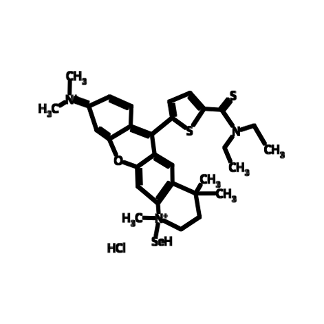 CCN(CC)C(=S)c1ccc(-c2c3ccc(=[N+](C)C)cc-3oc3cc4c(cc23)C(C)(C)CC[N+]4(C)[SeH])s1.Cl